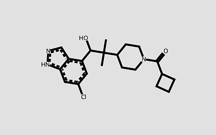 CC(C)(C1CCN(C(=O)C2CCC2)CC1)C(O)c1cc(Cl)cc2[nH]ncc12